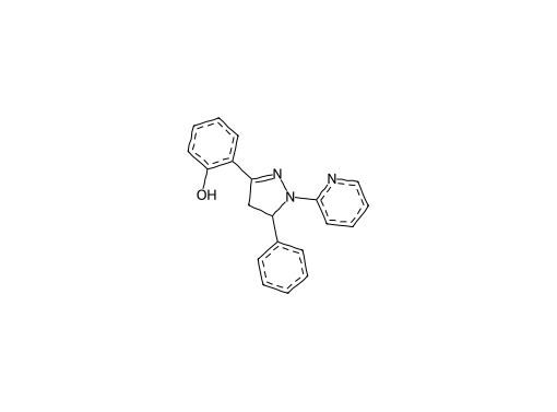 Oc1ccccc1C1=NN(c2ccccn2)C(c2ccccc2)C1